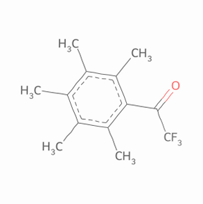 Cc1c(C)c(C)c(C(=O)C(F)(F)F)c(C)c1C